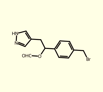 O=COC(Cc1cn[nH]c1)c1ccc(CBr)cc1